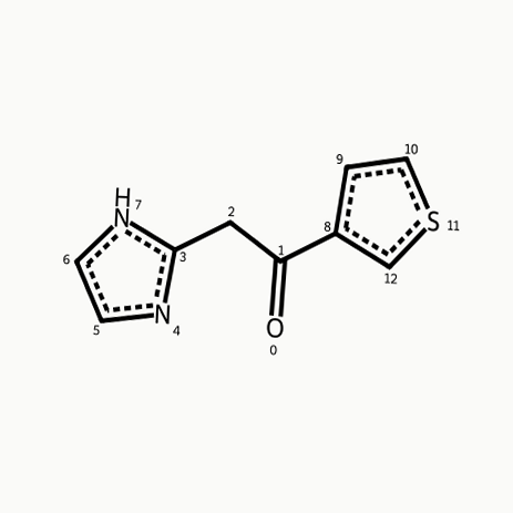 O=C(Cc1ncc[nH]1)c1ccsc1